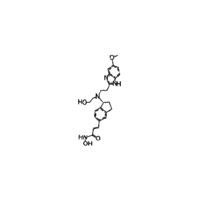 COc1ccc2[nH]c(CCN(CCO)C3CCc4cc(C=CC(=O)NO)ccc43)nc2c1